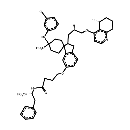 C[C@@H](COc1ccnc2c1[C@H](C)CCC2)CC1Cc2ccc(OCCCC(=O)N[C@H](Cc3ccccc3)C(=O)O)cc2C12CCC(Nc1cccc(Cl)c1)(C(=O)O)CC2